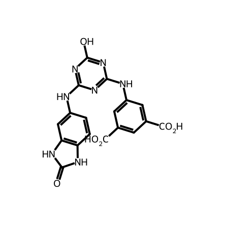 O=C(O)c1cc(Nc2nc(O)nc(Nc3ccc4[nH]c(=O)[nH]c4c3)n2)cc(C(=O)O)c1